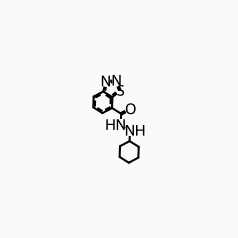 O=C(NNC1CCCCC1)c1cccc2nnsc12